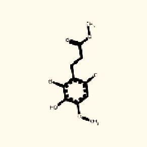 COC(=O)CCc1c(Cl)cc(OC)c(O)c1Cl